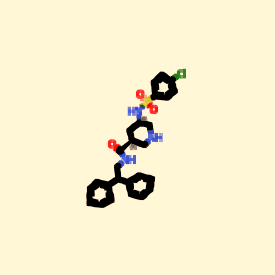 O=C(NCC(c1ccccc1)c1ccccc1)[C@@H]1CNC[C@H](NS(=O)(=O)c2ccc(Cl)cc2)C1